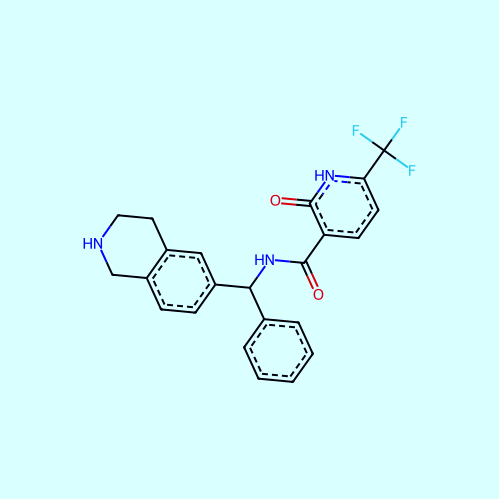 O=C(NC(c1ccccc1)c1ccc2c(c1)CCNC2)c1ccc(C(F)(F)F)[nH]c1=O